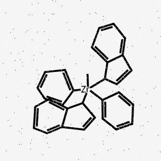 [CH3][Zr]([c]1ccccc1)([c]1ccccc1)([CH]1C=Cc2ccccc21)[CH]1C=Cc2ccccc21